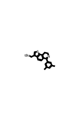 Cc1cc(C)cc(C2=NCCc3c2ccc2c(CC(C)(C)C)csc32)c1